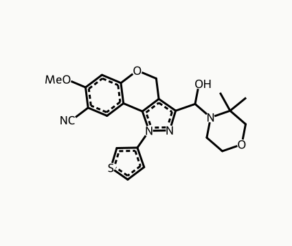 COc1cc2c(cc1C#N)-c1c(c(C(O)N3CCOCC3(C)C)nn1-c1ccsc1)CO2